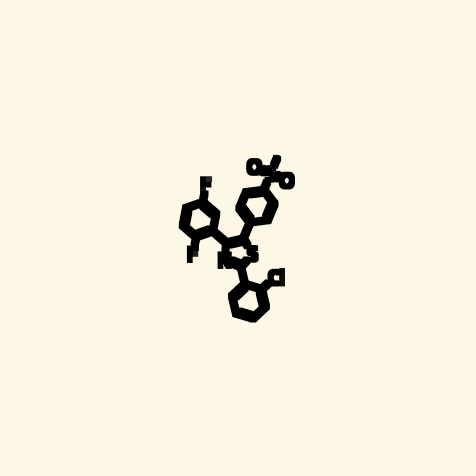 CS(=O)(=O)c1ccc(-c2sc(-c3ccccc3Cl)nc2-c2cc(F)ccc2F)cc1